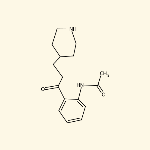 CC(=O)Nc1ccccc1C(=O)CCC1CCNCC1